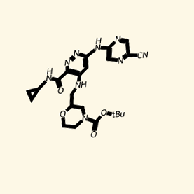 CC(C)(C)OC(=O)N1CCOC(CNc2cc(Nc3cnc(C#N)cn3)nnc2C(=O)NC2CC2)C1